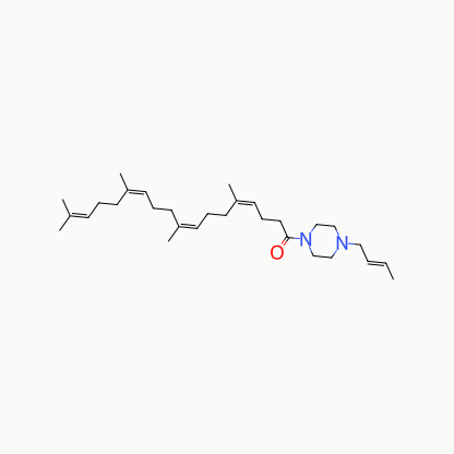 CC=CCN1CCN(C(=O)CCC=C(C)CCC=C(C)CCC=C(C)CCC=C(C)C)CC1